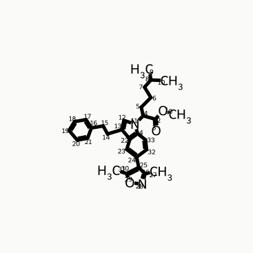 COC(=O)C(CCCC(C)C)n1cc(CCc2ccccc2)c2cc(-c3c(C)noc3C)ccc21